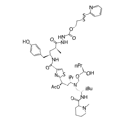 CCCC(O)OCN(C[C@@H](NC(=O)C1CCCCN1C)[C@@H](C)CC)[C@H](C[C@@H](OC(C)=O)c1nc(C(=O)N[C@@H](Cc2ccc(O)cc2)C[C@H](C)C(=O)NNC(=O)OCCSSc2ccccn2)cs1)C(C)C